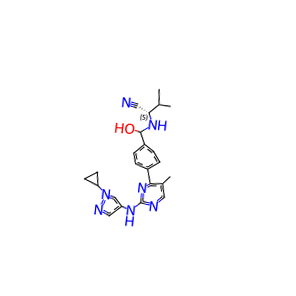 Cc1cnc(Nc2cnn(C3CC3)c2)nc1-c1ccc(C(O)N[C@H](C#N)C(C)C)cc1